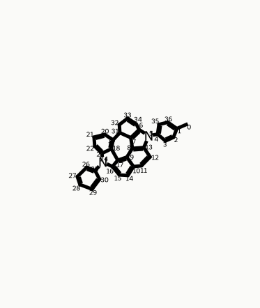 Cc1ccc(-n2c3c4c5c6c(ccc52)ccc2c6c5c(cccc5n2-c2ccccc2)C4CC=C3)cc1